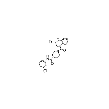 CCC1CN(C(=O)N2CCC(C(=O)Nc3cccc(Cl)c3)CC2)c2ccccc2O1